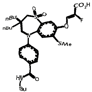 CCCCC1(CCCC)CN(c2ccc(C(=O)NC(C)(C)C)cc2)c2cc(SC)c(OC=C(F)C(=O)O)cc2S(=O)(=O)C1